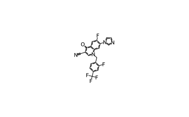 N#Cc1cn(Cc2ccc(C(F)(F)F)cc2F)c2cc(-n3ccnc3)c(F)cc2c1=O